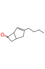 CCCCC1=CC2C(=O)CC2C1